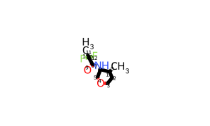 CC1CCOC[C@@H]1NC(=O)C(C)(F)F